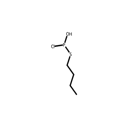 CCCCSP(O)Cl